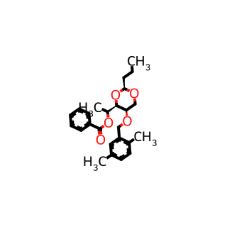 CCC[C@H]1OC[C@@H](OCc2cc(C)ccc2C)[C@@H](C(C)OC(=O)c2ccccc2)O1